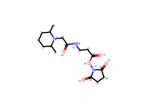 CC1CCCC(C)N1CC(=O)NCCC(=O)ON1C(=O)CCC1=O